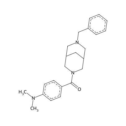 CN(C)c1ccc(C(=O)N2CC3CC(CN(Cc4ccccc4)C3)C2)cc1